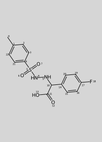 Cc1ccc(S(=O)(=O)NNC(C(=O)O)c2ccc(F)cc2)cc1